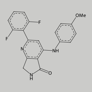 COc1ccc(Nc2cc(-c3c(F)cccc3F)nc3c2C(=O)NC3)cc1